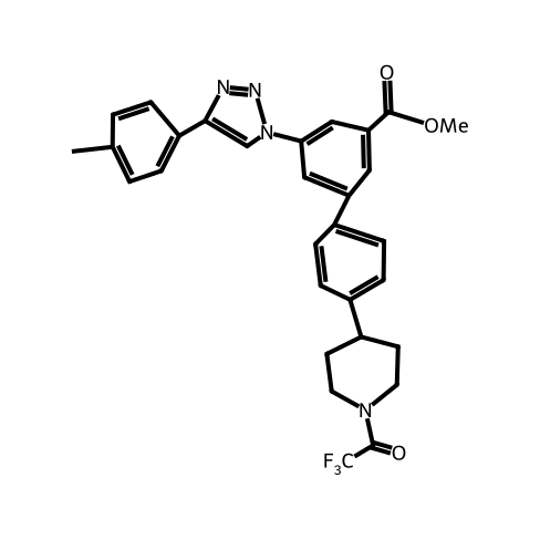 COC(=O)c1cc(-c2ccc(C3CCN(C(=O)C(F)(F)F)CC3)cc2)cc(-n2cc(-c3ccc(C)cc3)nn2)c1